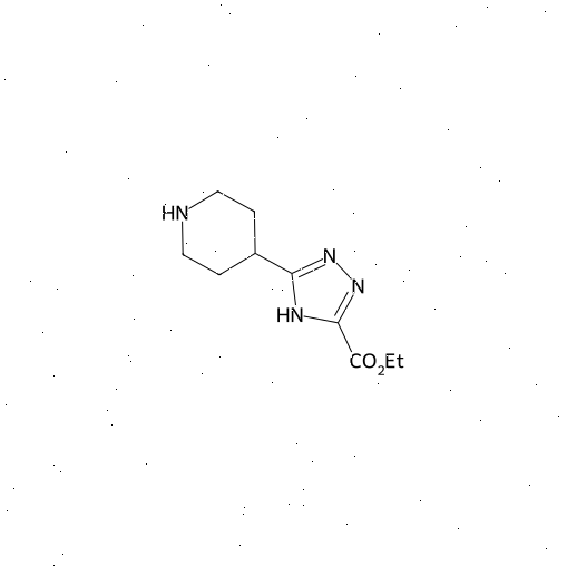 CCOC(=O)c1nnc(C2CCNCC2)[nH]1